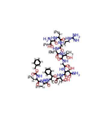 CC[C@H](C)[C@H](NC(=O)[C@@H](CCCNC(=N)N)NC(=O)[C@H](CC(C)C)NC(=O)[C@@H](N)[C@H](O)C(C)C)C(=O)N[C@H](C(=O)NCC(=O)N[C@H](C(=O)NC(CO)C(=O)O[C@H](c1ccccc1)[C@H](NC(=O)[C@H](CC(C)C)NC(=O)[C@@H](CC(C)C)NC(=O)OCc1ccccc1)C(=O)O)[C@H](O)C(N)=O)[C@H](C)O